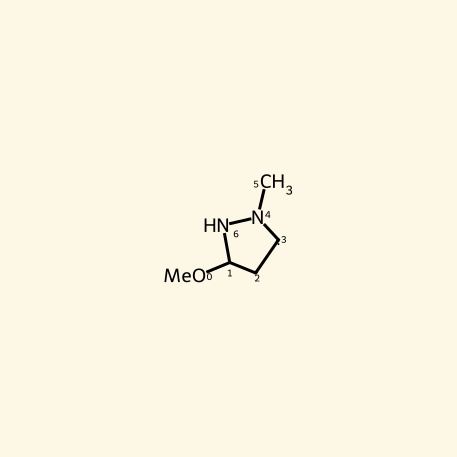 COC1C[CH]N(C)N1